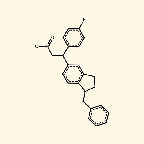 O=[N+]([O-])CC(c1ccc(Br)cc1)c1ccc2c(c1)CCN2Cc1ccccc1